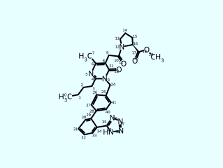 CCCCc1nc(C)c(CC(=O)N2CCC[C@H]2C(=O)OC)c(=O)n1Cc1ccc(-c2ccccc2-c2nnn[nH]2)cc1